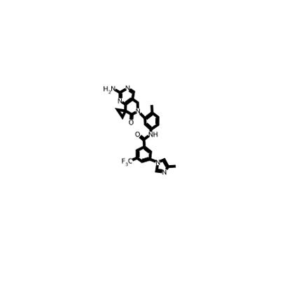 Cc1cn(-c2cc(C(=O)Nc3ccc(C)c(N4Cc5cnc(N)nc5C5(CC5)C4=O)c3)cc(C(F)(F)F)c2)cn1